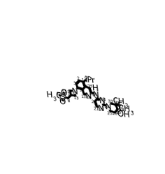 CC(C)c1ccc(N2CC(CS(C)(=O)=O)C2)c2cnc(Nc3ccnc(N4CC[C@](C)(O)[C@](C)(F)C4)n3)cc12